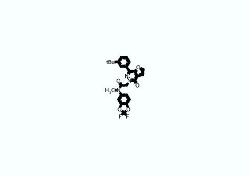 CN(C(=O)Cn1nc(-c2cccc(C(C)(C)C)c2)c2occc2c1=O)c1ccc2c(c1)OC(F)(F)O2